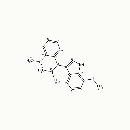 CCc1cccc2c(C(c3ccccc3OC)N(C)C)c[nH]c12